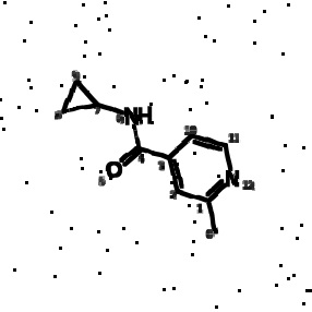 Cc1cc(C(=O)NC2CC2)ccn1